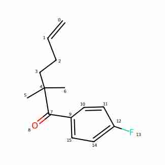 C=CCCC(C)(C)C(=O)c1ccc(F)cc1